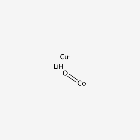 [Cu].[LiH].[O]=[Co]